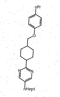 CCCCCCCc1cnc(C2CCC(COc3ccc(CCC)cc3)CC2)nc1